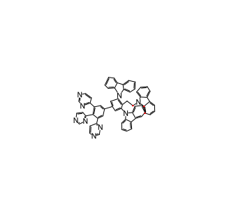 c1ccc2c(c1)c1ccccc1n2CCc1c(-n2c3ccccc3c3ccccc32)cc(-c2cc(-c3ccncn3)c(-c3ccncn3)c(-c3ccncn3)c2)cc1-n1c2ccccc2c2ccccc21